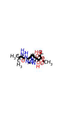 CC(=O)O[C@H]1[C@@H](O)[C@](C#N)(c2ccc3c(NC(=O)[C@@H](N)C(C)C)ncnn23)O[C@@H]1CO